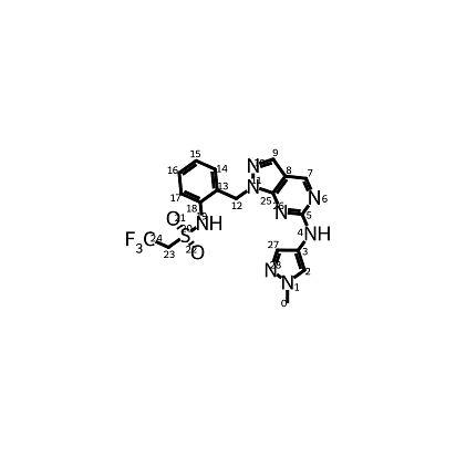 Cn1cc(Nc2ncc3cnn(Cc4ccccc4NS(=O)(=O)CC(F)(F)F)c3n2)cn1